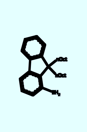 Bc1cccc2c1C(CCCCCCCC)(CCCCCCCC)c1ccccc1-2